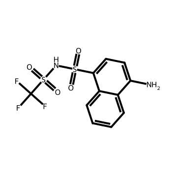 Nc1ccc(S(=O)(=O)NS(=O)(=O)C(F)(F)F)c2ccccc12